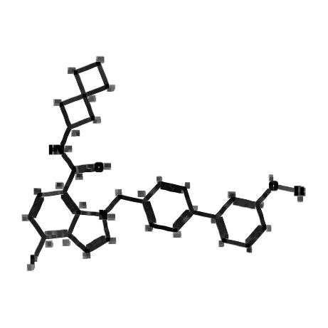 CCOc1cccc(-c2ccc(Cn3ccc4c(F)ccc(C(=O)NC5CC6(CCC6)C5)c43)cc2)c1